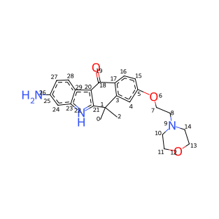 CC1(C)c2cc(OCCN3CCOCC3)ccc2C(=O)c2c1[nH]c1cc(N)ccc21